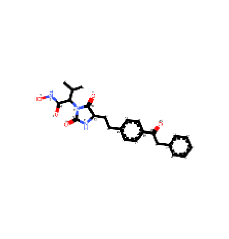 CC(C)C(C(=O)NO)N1C(=O)NC(CCc2ccc(C(=O)Cc3ccccc3)cc2)C1=O